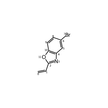 C=Cc1nc2cc(Br)ccc2o1